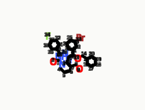 NC(=O)N1CC=CC(C=O)=C1c1c(OCc2ccccc2)c2cc(Br)ccc2n1Cc1ccc(F)cc1